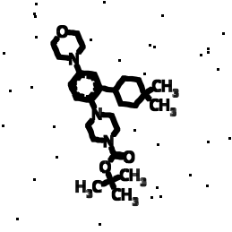 CC1(C)CCC(c2cc(N3CCOCC3)ccc2N2CCN(C(=O)OC(C)(C)C)CC2)CC1